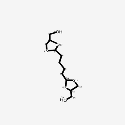 OCC1CSC(CCCCC2SCC(CO)S2)S1